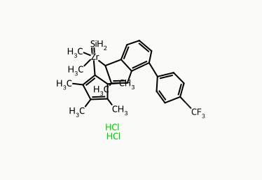 CC1=Cc2c(-c3ccc(C(F)(F)F)cc3)cccc2[CH]1[Zr]([CH3])([CH3])(=[SiH2])[C]1=C(C)C(C)=C(C)C1C.Cl.Cl